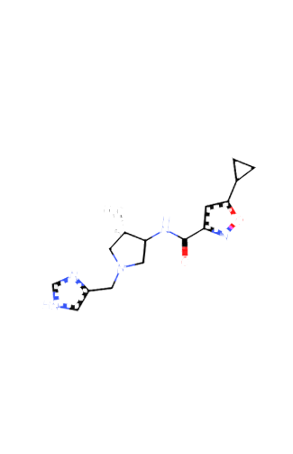 C[C@H]1CN(Cc2c[nH]cn2)CC1NC(=O)c1cc(C2CC2)on1